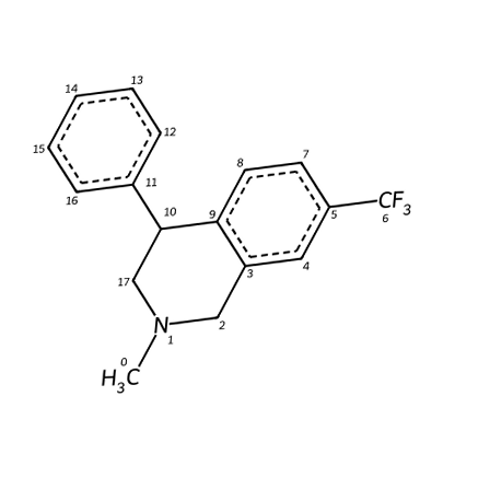 CN1Cc2cc(C(F)(F)F)ccc2C(c2ccccc2)C1